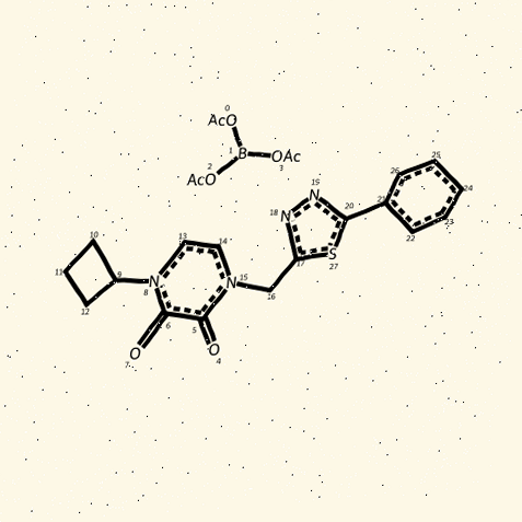 CC(=O)OB(OC(C)=O)OC(C)=O.O=c1c(=O)n(C2CCC2)ccn1Cc1nnc(-c2ccccc2)s1